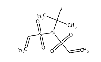 C=CS(=O)(=O)N(C(C)(C)I)S(=O)(=O)C=C